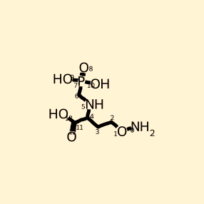 NOCCC(NCP(=O)(O)O)C(=O)O